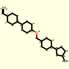 C=CC1CCC(C2CCC(OCC3CCC(C4CCC(CCC)C4)CC3)CC2)CC1